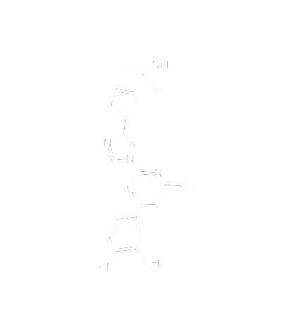 Cc1cc(-c2ccc(Cl)c(C)c2)nc(-n2cnc(-c3ccc(S(N)(=O)=O)s3)c2)n1